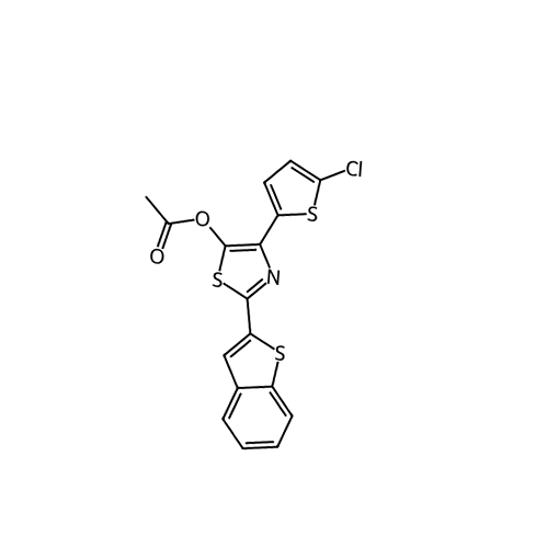 CC(=O)Oc1sc(-c2cc3ccccc3s2)nc1-c1ccc(Cl)s1